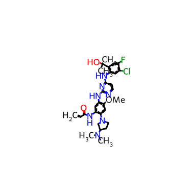 C=CC(=O)Nc1cc(Nc2nccc(Nc3cc(Cl)c(F)cc3C(C)(C)O)n2)c(OC)cc1N1CCC(N(C)C)C1